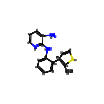 Nc1cccnc1Nc1ccccc1-c1ccsc1C=O